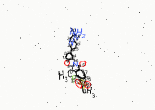 CCc1c(C(=O)N2CCOc3ccc(-c4ccc5nc(N)cn5c4)cc3C2)ccc(S(C)(=O)=O)c1F